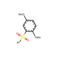 COc1ccc(OC)c(S(=O)(=O)C(C)C)c1